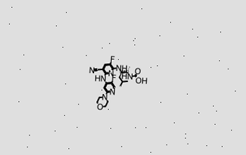 CC(C)C[C@@H](Nc1nc(Nc2cc(N3CCOCC3)ncc2F)c(C#N)cc1F)[C@H](C)NC(=O)O